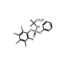 CCOC(=O)C(C)(C)NP(=O)(Oc1ccccc1)Oc1c(F)c(F)c(F)c(F)c1F